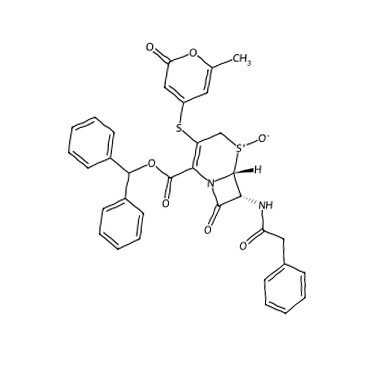 Cc1cc(SC2=C(C(=O)OC(c3ccccc3)c3ccccc3)N3C(=O)[C@@H](NC(=O)Cc4ccccc4)[C@H]3[S+]([O-])C2)cc(=O)o1